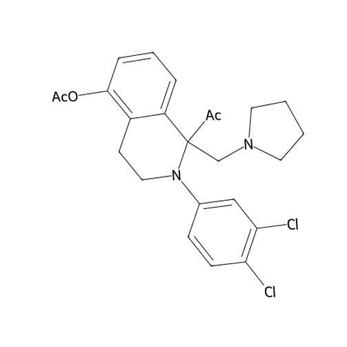 CC(=O)Oc1cccc2c1CCN(c1ccc(Cl)c(Cl)c1)C2(CN1CCCC1)C(C)=O